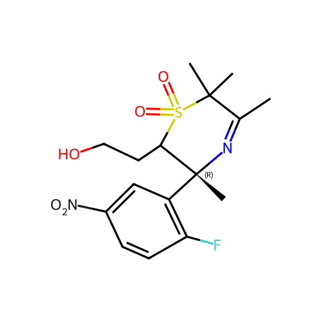 CC1=N[C@](C)(c2cc([N+](=O)[O-])ccc2F)C(CCO)S(=O)(=O)C1(C)C